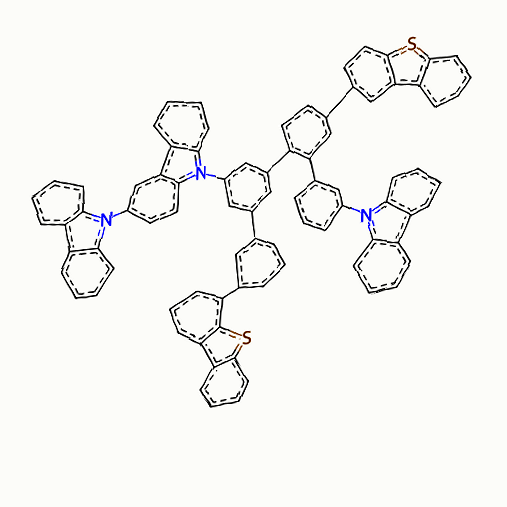 c1cc(-c2cc(-c3ccc(-c4ccc5sc6ccccc6c5c4)cc3-c3cccc(-n4c5ccccc5c5ccccc54)c3)cc(-n3c4ccccc4c4cc(-n5c6ccccc6c6ccccc65)ccc43)c2)cc(-c2cccc3c2sc2ccccc23)c1